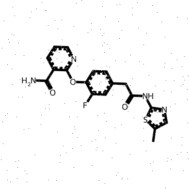 Cc1cnc(NC(=O)Cc2ccc(Oc3ncccc3C(N)=O)c(F)c2)s1